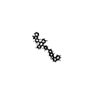 CC1(C)c2ccccc2-c2cc(-c3c4ccccc4c(-c4ccc(-c5ccc6cc7c(cc6c5)oc5ccc6ccccc6c57)cc4)c4ccccc34)ccc21